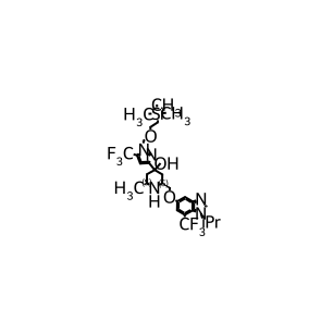 CC(C)n1cnc2cc(OC[C@@H]3CC(O)(c4cc(C(F)(F)F)n(COCC[Si](C)(C)C)n4)C[C@H](C)N3)cc(C(F)(F)F)c21